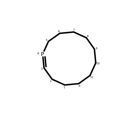 [CH]1CCC=PCCCCCCC1